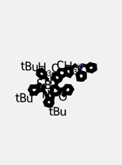 CC(C)(C)c1ccc(N2B3c4sc5ccc(C(C)(C)C)cc5c4-n4c5ccc(C(C)(C)C)cc5c5c6oc7ccccc7c6c(c3c54)-c3cc4c(cc32)C(C)(C)c2cc(C/C(=C/c3ccccc3)c3ccccc3)ccc2-4)cc1